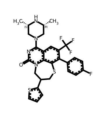 C[C@@H]1CN(c2nc(=O)n3c4c(c(-c5ccc(F)cc5)c(C(F)(F)F)cc24)SCC(c2cccs2)C3)C[C@H](C)N1